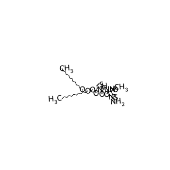 CCCCCCCCCCCCOC(CCCCCCCCCC)COCOC(=O)C1C=CS[C@H]2C(NC(=O)C(=NOC)c3csc(N)n3)C(=O)N12